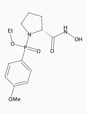 CCOP(=O)(c1ccc(OC)cc1)N1CCC[C@@H]1C(=O)NO